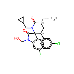 O=C(O)C[C@@H]1C[C@@H](c2cccc(Cl)c2)C2(C(=O)N(CO)c3cc(Cl)ccc32)N(CC2CC2)C1=O